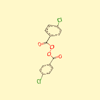 O=C(OOC(=O)c1ccc(Cl)cc1)c1ccc(Cl)cc1